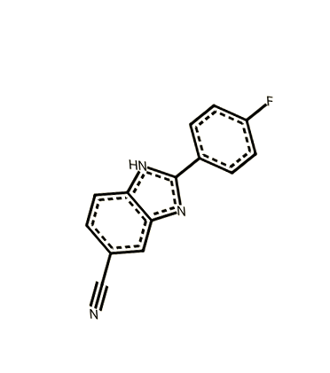 N#Cc1ccc2[nH]c(-c3ccc(F)cc3)nc2c1